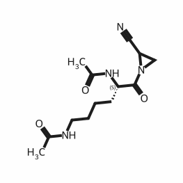 CC(=O)NCCCC[C@H](NC(C)=O)C(=O)N1CC1C#N